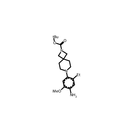 CCc1cc(N)c(OC)cc1N1CCC2(CC1)CN(C(=O)OC(C)(C)C)C2